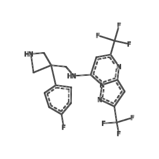 Fc1ccc(C2(CNc3cc(C(F)(F)F)nc4cc(C(F)(F)F)nn34)CNC2)cc1